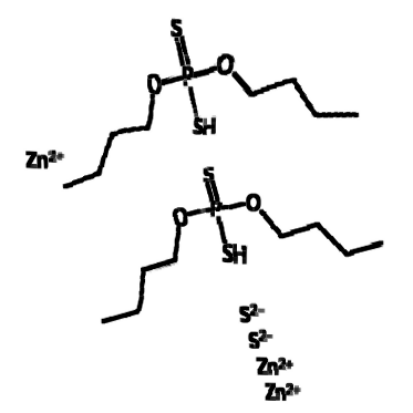 CCCCOP(=S)(S)OCCCC.CCCCOP(=S)(S)OCCCC.[S-2].[S-2].[Zn+2].[Zn+2].[Zn+2]